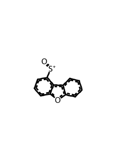 O=[S+]c1cccc2oc3ccccc3c12